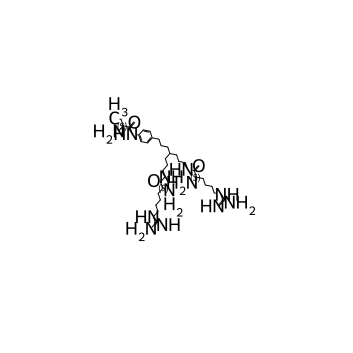 CC[C@H](N)C(=O)Nc1ccc(CCCC(CCCNC(=O)[C@@H](N)CCCCNC(=N)N)CCCNC(=O)[C@@H](N)CCCCNC(=N)N)cc1